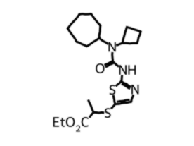 CCOC(=O)C(C)Sc1cnc(NC(=O)N(C2CCCCCC2)C2CCC2)s1